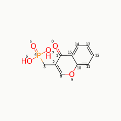 O=c1c(CP(=O)(O)O)coc2ccccc12